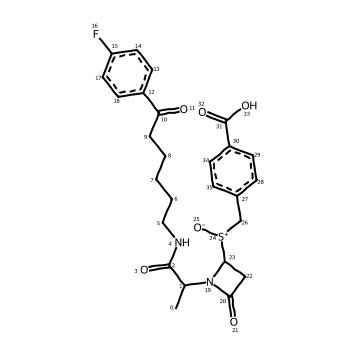 CC(C(=O)NCCCCCC(=O)c1ccc(F)cc1)N1C(=O)CC1[S+]([O-])Cc1ccc(C(=O)O)cc1